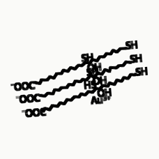 O=C([O-])CCCCCCCCCCCCCCC(S)C(O)CCCCCCCCCCS.O=C([O-])CCCCCCCCCCCCCCC(S)C(O)CCCCCCCCCCS.O=C([O-])CCCCCCCCCCCCCCC(S)C(O)CCCCCCCCCCS.[Au+3]